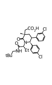 CC[C@@H](C(=O)NCC(C)(C)C)N1C(=O)[C@](C)(CC(=O)O)CC(c2cccc(Cl)c2)[C@H]1c1ccc(Cl)cc1